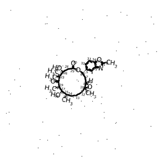 Cc1nc2cc([C@@H]3C[C@@H]4O[C@]4(C)CCC[C@H](C)[C@H](O)[C@@H](C)C(=O)C(C)(C)[C@@H](O)CC(=O)O3)ccc2o1